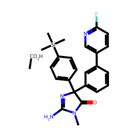 CC(=O)O.CN1C(=O)C(c2ccc([Si](C)(C)C)cc2)(c2cccc(-c3ccc(F)nc3)c2)N=C1N